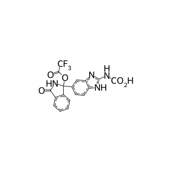 O=C(O)Nc1nc2cc(C3(OC(=O)C(F)(F)F)NC(=O)c4ccccc43)ccc2[nH]1